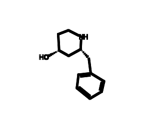 O[C@@H]1CCN[C@H](Cc2ccccc2)C1